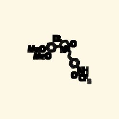 CCC1CC(=O)N(CCc2ccc(NC(=O)C(F)(F)F)cc2)N=C1c1ccc(OC)c(OC)c1